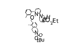 CCOC(=O)[C@@]12CCN(c3cccc(-c4cccc(C)c4OCc4ccc5c(c4C)CCN(C(=O)OC(C)(C)C)C5)n3)C[C@@H]1C2